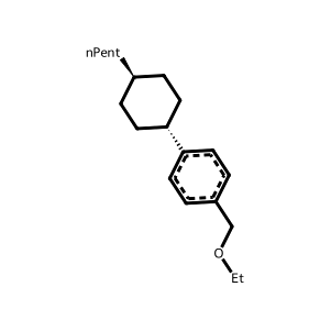 CCCCC[C@H]1CC[C@H](c2ccc(COCC)cc2)CC1